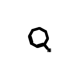 [Ni][C]1=CC=CCCCC1